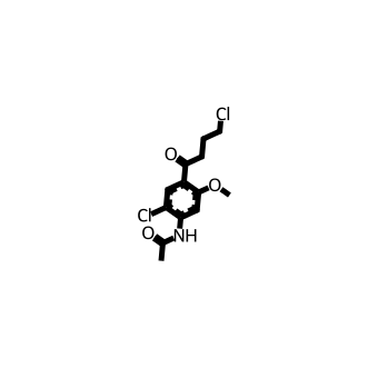 COc1cc(NC(C)=O)c(Cl)cc1C(=O)CCCCl